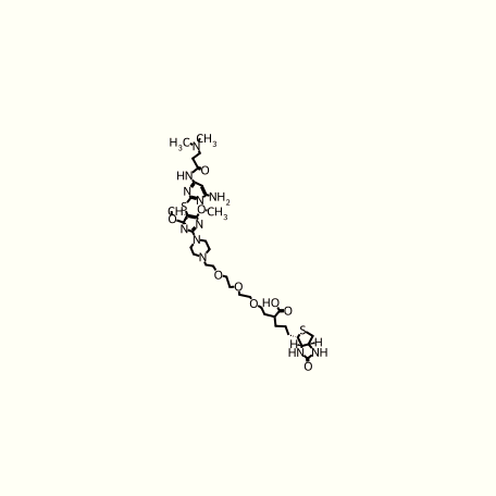 COc1nc(N2CCN(CCOCCOCCOCCC(CCC[C@@H]3SC[C@@H]4NC(=O)N[C@@H]43)C(=O)O)CC2)nc(OC)c1Sc1nc(N)cc(NC(=O)CCN(C)C)n1